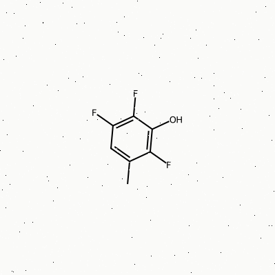 Cc1cc(F)c(F)c(O)c1F